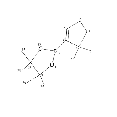 CC1(C)CCC=C1B1OC(C)(C)C(C)(C)O1